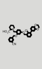 N#Cc1cccc(COc2cc(OCc3cccc(-c4ccc5c(c4)OCCO5)c3Cl)ccc2CN2CCCCC2C(=O)O)c1